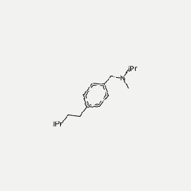 CC(C)CCc1ccc(CN(C)C(C)C)cc1